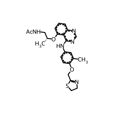 CC(=O)NC[C@@H](C)Oc1cccc2ncnc(Nc3ccc(OCC4=NCCS4)c(C)c3)c12